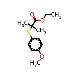 CCOC(=O)C(C)(C)Sc1ccc(OC)cc1